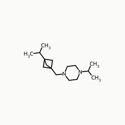 CC(C)N1CCN(CC23CC(C(C)C)(C2)C3)CC1